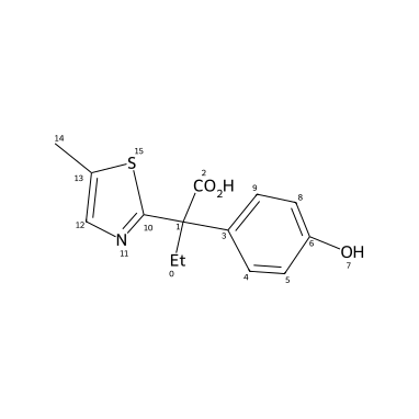 CCC(C(=O)O)(c1ccc(O)cc1)c1ncc(C)s1